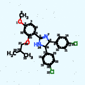 COc1ccc(C2=NC(c3ccc(Cl)cc3)C(c3ccc(Cl)cc3)N2)c(OCC(C)C)c1